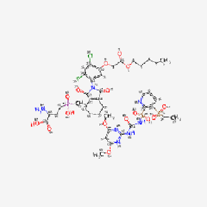 CCCCCOC(=O)COc1cc(N2C(=O)C3=C(CCCC3)C2=O)c(F)cc1Cl.CCS(=O)(=O)c1cccnc1S(=O)(=O)NC(=O)Nc1nc(OC)cc(OC)n1.CP(=O)(O)CCC(N)C(=O)O